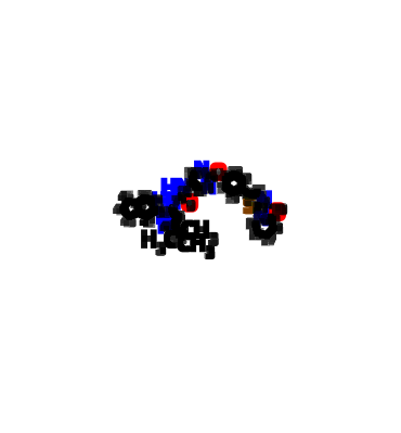 CC(C)(C)c1cc(NC(=O)Nc2cnc(Oc3ccc(-c4cnc(N5CCCCC5=O)s4)cc3)nc2)n(-c2ccc3c(c2)CCC3)n1